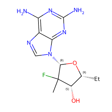 CC[C@H]1O[C@@H](n2cnc3c(N)nc(N)nc32)C(C)(F)[C@H]1O